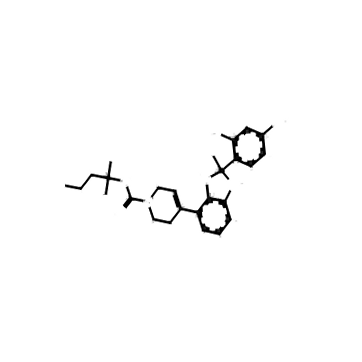 CCCC(C)(C)OC(=O)N1CC=C(c2cccc3c2OC(C)(c2ccc(Cl)cc2F)O3)CC1